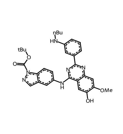 CCCCNc1cccc(-c2nc(Nc3ccc4c(cnn4C(=O)OC(C)(C)C)c3)c3cc(O)c(OC)cc3n2)c1